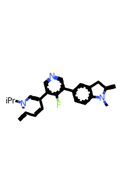 C=C/C=C\C(=C/N(C)C(C)C)c1cncc(-c2ccc3c(c2)CC(=C)N3C)c1F